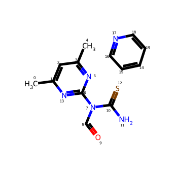 Cc1cc(C)nc(N(C=O)C(N)=S)n1.c1ccncc1